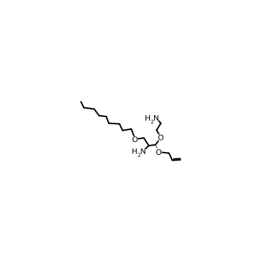 C=CCO[C@@H](OCCN)C(N)COCCCCCCCCC